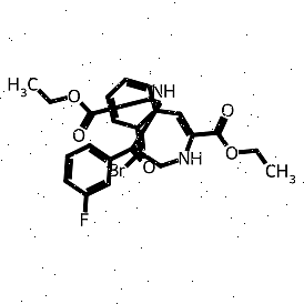 CCOC(=O)C1=CC23C(=CC=CC2=C(Br)CN1)NC(C(=O)OCC)C3C(=O)c1cccc(F)c1